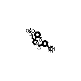 COc1ccc(-n2cnnn2)cc1C(=O)N1CCC(CCOS(C)(=O)=O)(c2ccccc2)C1